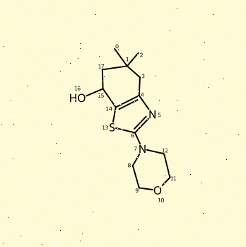 CC1(C)Cc2nc(N3CCOCC3)sc2C(O)C1